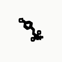 CNS(=O)(=O)CCc1ccc(Cl)cc1